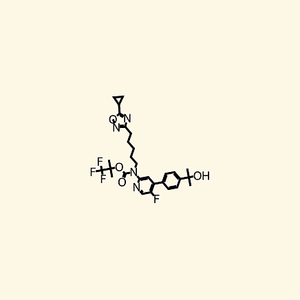 CC(C)(O)c1ccc(-c2cc(N(CCCCCc3noc(C4CC4)n3)C(=O)OC(C)(C)C(F)(F)F)ncc2F)cc1